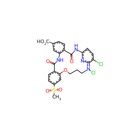 CS(=O)(=O)c1ccc(C(=O)Nc2cc(C(=O)O)ccc2C(=O)Nc2ccc(Cl)cn2)c(OCCCNCl)c1